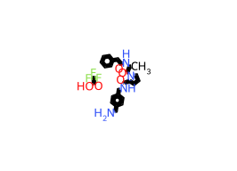 CC(NC(=O)CC1CCCCC1)C(=O)N1CCCC1C(=O)NCc1ccc(CN)cc1.O=C(O)C(F)(F)F